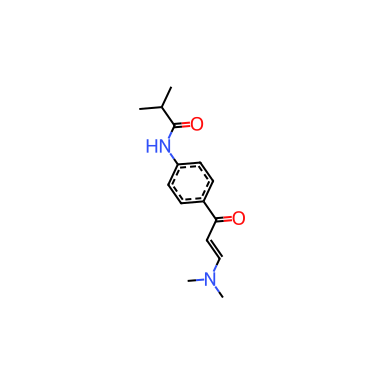 CC(C)C(=O)Nc1ccc(C(=O)C=CN(C)C)cc1